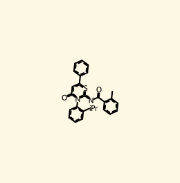 Cc1ccccc1C(=O)N=c1sc(-c2ccccc2)cc(=O)n1-c1ccccc1C(C)C